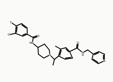 Cc1cc(C(=O)NCc2ccncc2)ccc1C(C)N1CCC(NC(=O)c2ccc(F)c(Cl)c2)CC1